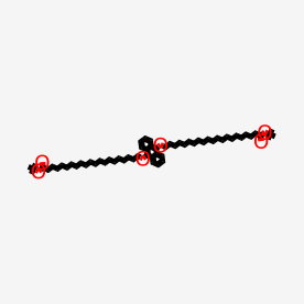 CC(C)(C)OC(=O)CCCCCCCCCCCCCCCCCCCCOc1c2ccccc2c(OCCCCCCCCCCCCCCCCCCCCC(=O)OC(C)(C)C)c2ccccc12